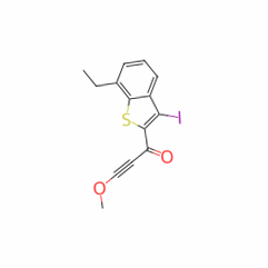 CCc1cccc2c(I)c(C(=O)C#COC)sc12